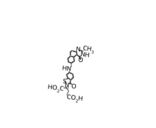 Cc1nc2ccc3ccc(CNc4ccc5c(=O)n([C@@H](CCC(=O)O)C(=O)O)sc5c4)cc3c2c(=O)[nH]1